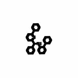 c1ccc(-c2cccc(C(Nc3ccccc3-c3ccccc3)c3ccccc3)n2)cc1